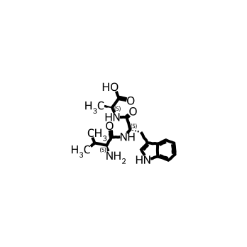 CC(C)[C@H](N)C(=O)N[C@@H](Cc1c[nH]c2ccccc12)C(=O)N[C@@H](C)C(=O)O